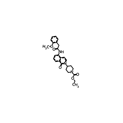 CCOC(=O)N1CCC(n2ccc3c(NC(=O)Cc4ccccc4OC)cccc3c2=O)CC1